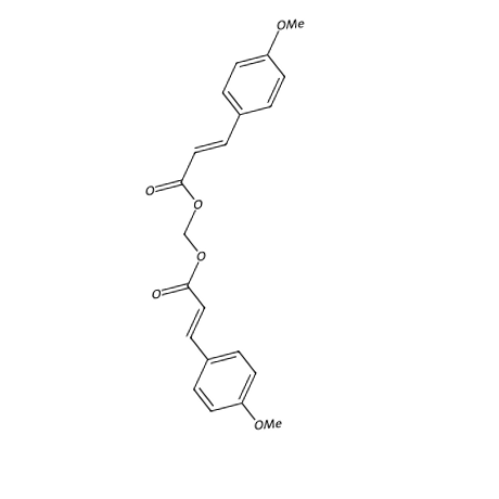 COc1ccc(C=CC(=O)OCOC(=O)C=Cc2ccc(OC)cc2)cc1